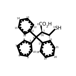 O=C(O)[C@@H](CS)C(c1ccccc1)(c1ccccc1)c1ccccc1